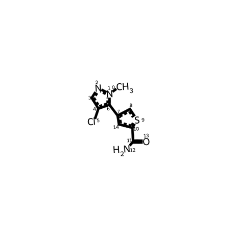 Cn1ncc(Cl)c1-c1csc(C(N)=O)c1